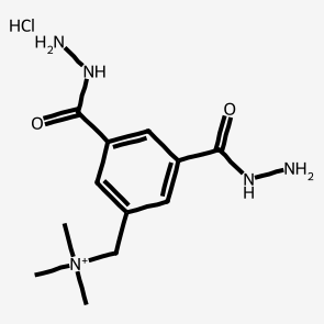 C[N+](C)(C)Cc1cc(C(=O)NN)cc(C(=O)NN)c1.Cl